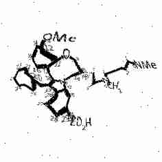 CNCCCN(C)CC[C@H]1COc2c(OC)cccc2-c2c(C3CCCCC3)c3ccc(C(=O)O)cc3n2C1